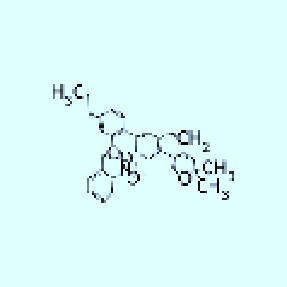 C=CC1=C(C2=COC(C)(C)C=C2)CCC(c2ccc(CCC)cc2OCc2ccccc2[N+](=O)[O-])=C1